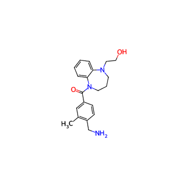 Cc1cc(C(=O)N2CCCN(CCO)c3ccccc32)ccc1CN